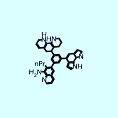 CCCc1c(-c2cc(C3=CC4=CC=NC4c4[nH]ccc43)cc(C3CC4=C(NCC=C4)C4=C3CCCN4)c2)cc2cccnc2c1N